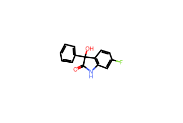 O=C1Nc2cc(F)ccc2C1(O)c1ccccc1